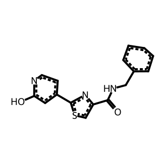 O=C(NCc1ccccc1)c1csc(-c2ccnc(O)c2)n1